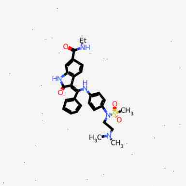 CCNC(=O)c1ccc2c(c1)NC(=O)C2=C(Nc1ccc(N(CCN(C)C)S(C)(=O)=O)cc1)c1ccccc1